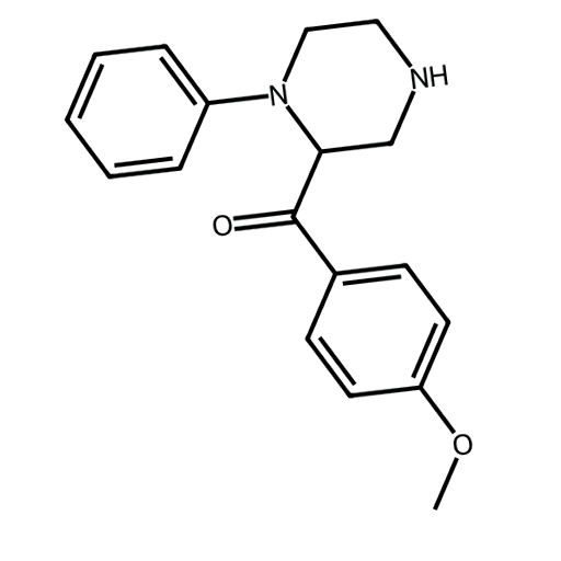 COc1ccc(C(=O)C2CNCCN2c2ccccc2)cc1